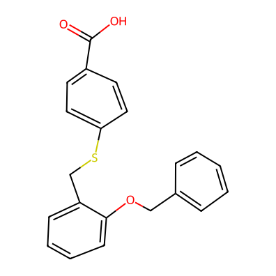 O=C(O)c1ccc(SCc2ccccc2OCc2ccccc2)cc1